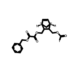 O=C(I)OCC1C(COC(=O)C(=O)OCc2ccccc2)[C@@H]2C=C[C@H]1C2